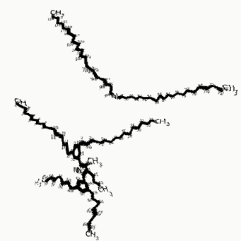 CCCCCCCCCCCCCCC=Cc1cc(C=CCCCCCCCCCCCCCC)cc(C2=C(C)C(CCCC)=C(c3cc(CCCCCCCC)cc(CCCCCCCC)c3)[N+]2=[N-])c1.CCCCCCCCCCCCCCCCCCCCC=[CH][Ni][CH]=CCCCCCCCCCCCCCCCCCCCC